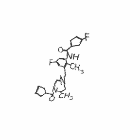 Cc1c(CN2CCN(C(=O)C3CCCC3)C(C)C2)cc(F)cc1NC(=O)C1CCC(F)C1